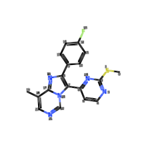 CSc1nccc(-c2c(-c3ccc(F)cc3)nc3c(C)cncn23)n1